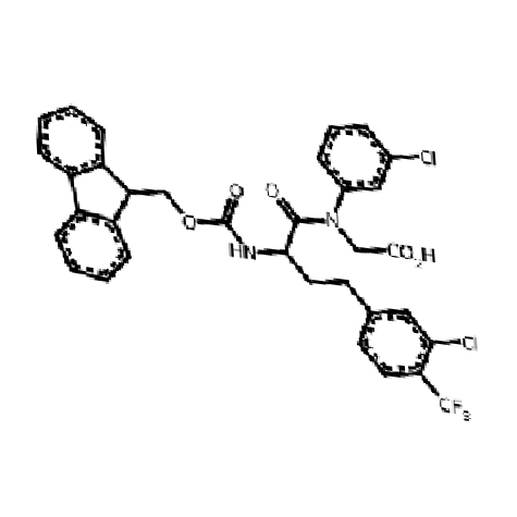 O=C(O)CN(C(=O)C(CCc1ccc(C(F)(F)F)c(Cl)c1)NC(=O)OCC1c2ccccc2-c2ccccc21)c1cccc(Cl)c1